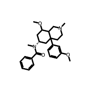 COc1cccc(C23CCN(C)CC2C(OC)C[C@@H](N(C)C(=O)c2ccccc2)C3)c1